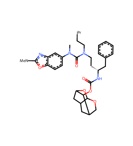 CNc1nc2cc(N(C)C(=O)N(CCC(C)C)CC[C@H](Cc3ccccc3)NC(=O)OC3C4COC5OC3CC5C4)ccc2o1